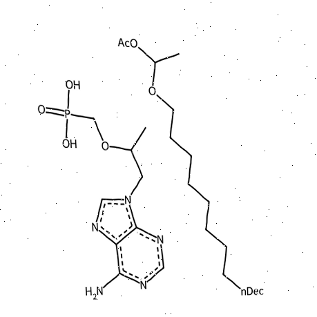 CC(Cn1cnc2c(N)ncnc21)OCP(=O)(O)O.CCCCCCCCCCCCCCCCCCOC(C)OC(C)=O